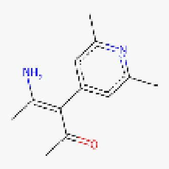 CC(=O)C(=C(C)N)c1cc(C)nc(C)c1